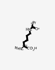 CN[C@@H](CCCCNC(=O)C(C)C)C(=O)O